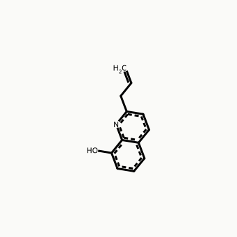 C=CCc1ccc2cccc(O)c2n1